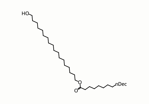 CCCCCCCCCCCCCCCCCC(=O)OCCCCCCCCCCCCCCCCCCO